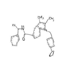 CCC(NC(=O)c1ccc2c(c1)c(C)c(C)n2Cc1ccc(Cl)cc1)c1ccccc1